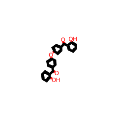 O=C(c1ccc(Oc2ccc(C(=O)c3ccccc3O)cc2)cc1)c1ccccc1O